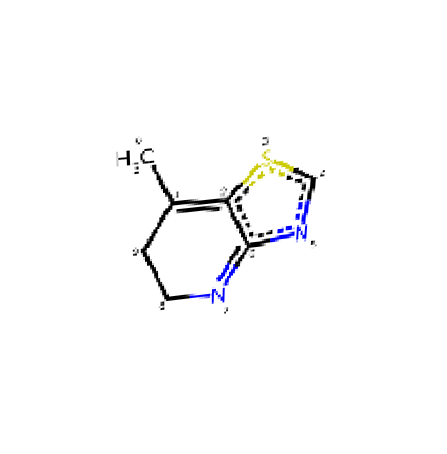 CC1=c2scnc2=NCC1